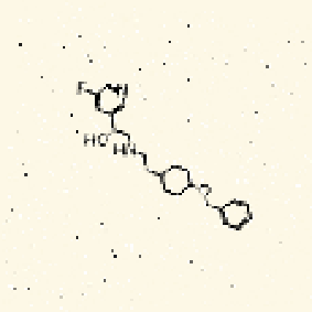 O[C@@H](CNCCC1CCC(OCc2ccccc2)CC1)c1cncc(F)c1